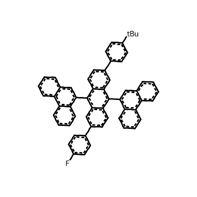 CC(C)(C)c1ccc(-c2ccc3c(-c4cc5ccccc5c5ccccc45)c4cc(-c5ccc(F)cc5)ccc4c(-c4cc5ccccc5c5ccccc45)c3c2)cc1